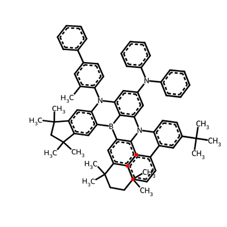 Cc1cc(-c2ccccc2)ccc1N1c2cc3c(cc2B2c4cc5c(cc4N(c4ccc(C(C)(C)C)cc4-c4ccccc4)c4cc(N(c6ccccc6)c6ccccc6)cc1c42)C(C)(C)CCC5(C)C)C(C)(C)CC3(C)C